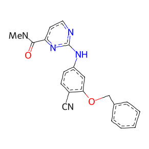 CNC(=O)c1ccnc(Nc2ccc(C#N)c(OCc3ccccc3)c2)n1